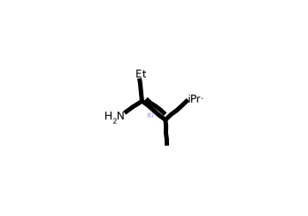 CC/C(N)=C(/C)[C](C)C